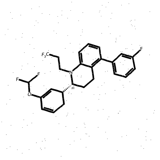 Fc1cccc(-c2cccc3c2CC[C@H](C2C=C(OC(F)F)C=CC2)N3CCC(F)(F)F)c1